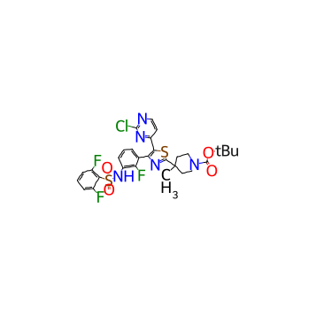 CC(C)(C)OC(=O)N1CCC(C)(c2nc(-c3cccc(NS(=O)(=O)c4c(F)cccc4F)c3F)c(-c3ccnc(Cl)n3)s2)CC1